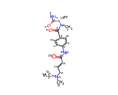 CC(C)[C@@H](C(N)=O)N(C)C(=O)c1ccc(NC(=O)/C=C/CN(C)C)cc1